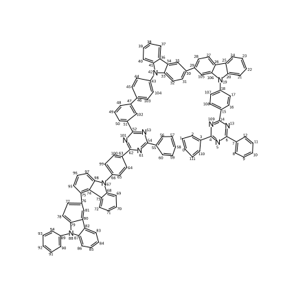 c1ccc(-c2nc(-c3ccccc3)nc(-c3ccc(-n4c5ccccc5c5ccc(-c6ccc7c(c6)c6ccccc6n7-c6ccc(-c7cccc(-c8nc(-c9ccccc9)nc(-c9ccc(-n%10c%11ccccc%11c%11c(-c%12ccc%13c(c%12)c%12ccccc%12n%13-c%12ccccc%12)cccc%11%10)cc9)n8)c7)cc6)cc54)cc3)n2)cc1